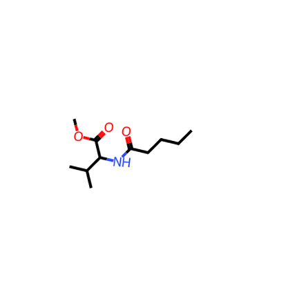 CCCCC(=O)NC(C(=O)OC)C(C)C